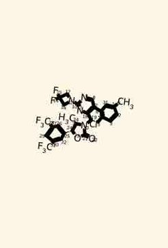 Cc1ccc(Cl)c(-c2cnc(N3CC(F)(F)C3)nc2CN2C(=O)O[C@H](c3cc(C(F)(F)F)cc(C(F)(F)F)c3)[C@@H]2C)c1